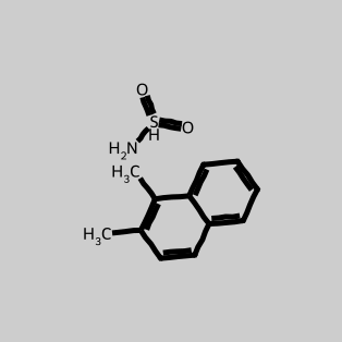 Cc1ccc2ccccc2c1C.N[SH](=O)=O